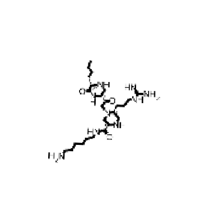 CCCC[C@@H]1NC[C@H](C(=O)CN2C[C@H](C(=O)NCCCCCCN)NC[C@@H]2CCCNC(=N)N)NC1=O